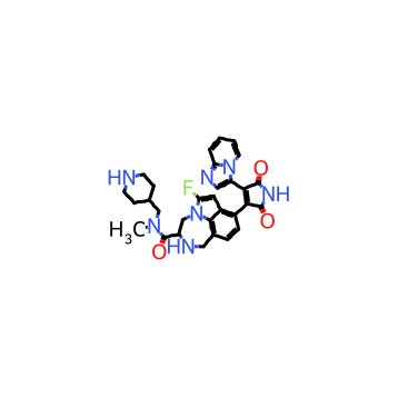 CN(CC1CCNCC1)C(=O)C1Cn2c(F)cc3c(C4=C(c5cnc6ccccn56)C(=O)NC4=O)ccc(c32)CN1